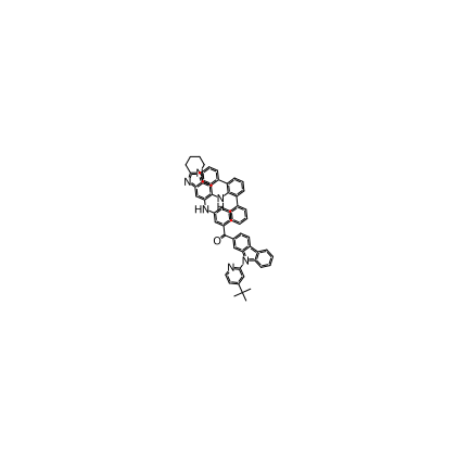 CC(C)(C)c1ccnc(-n2c3ccccc3c3ccc(C(=O)c4cccc(Nc5cc6nc7n(c6cc5Nc5c(-c6ccccc6)cccc5-c5ccccc5)CCCC7)c4)cc32)c1